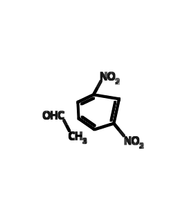 CC=O.O=[N+]([O-])c1cccc([N+](=O)[O-])c1